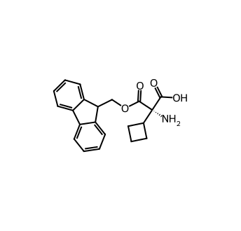 N[C@@](C(=O)O)(C(=O)OCC1c2ccccc2-c2ccccc21)C1CCC1